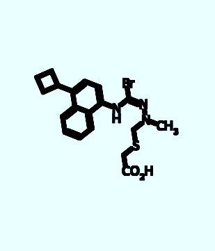 CN(CSCC(=O)O)/N=C(/Br)Nc1ccc(C2CCC2)c2ccccc12